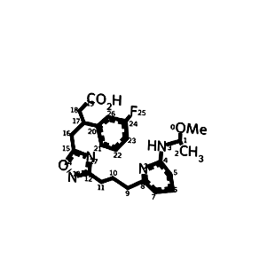 COC(C)Nc1cccc(CCCc2noc(CC(CC(=O)O)c3cccc(F)c3)n2)n1